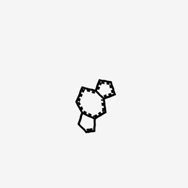 C1=Cc2cc3cccc-3ccc2C1